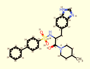 CC1CCN(C(=O)C(Cc2ccc3[nH]cnc3c2)NS(=O)(=O)c2ccc(-c3ccccc3)cc2)CC1